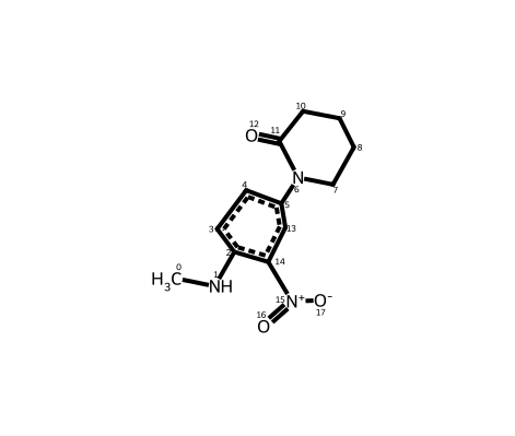 CNc1ccc(N2CCCCC2=O)cc1[N+](=O)[O-]